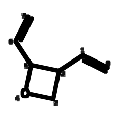 C=CC1COC1C=C